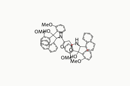 COc1ccccc1C(O)(c1ccccc1OC)[C@@H](NC(=O)CC(=O)N[C@@H](c1cccc2ccccc12)C(O)(c1ccccc1OC)c1ccccc1OC)c1cccc2ccccc12